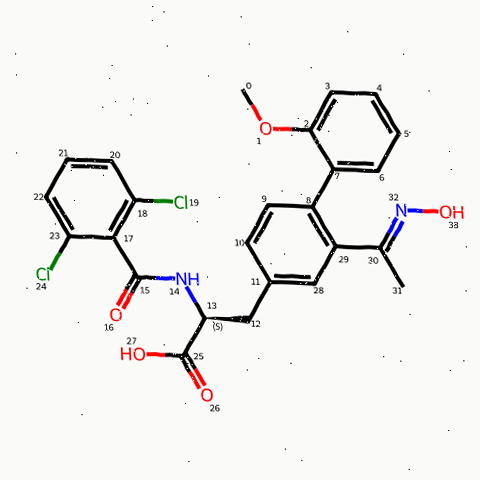 COc1ccccc1-c1ccc(C[C@H](NC(=O)c2c(Cl)cccc2Cl)C(=O)O)cc1C(C)=NO